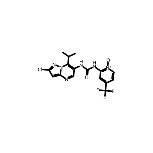 CC(C)c1c(NC(=O)Nc2cc(C(F)(F)F)cc[n+]2[O-])cnc2cc(Cl)nn12